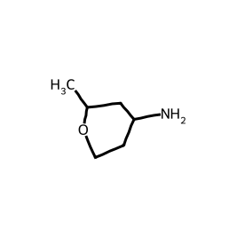 CC1CC(N)CCO1